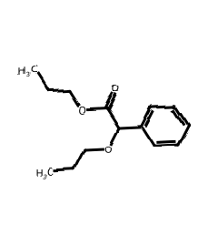 CCCOC(=O)C(OCCC)c1ccccc1